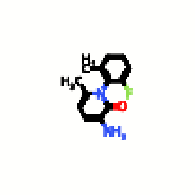 Cc1cccc(F)c1-n1c(C)ccc(N)c1=O